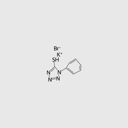 Sc1nnnn1-c1ccccc1.[Br-].[K+]